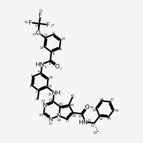 Cc1ccc(NC(=O)c2cccc(OC(F)(F)F)c2)cc1Nc1ncnn2cc(C(=O)N[C@@H](C)c3ccccc3)c(C)c12